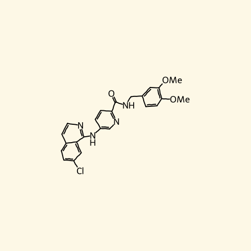 COc1ccc(CNC(=O)c2ccc(Nc3nccc4ccc(Cl)cc34)cn2)cc1OC